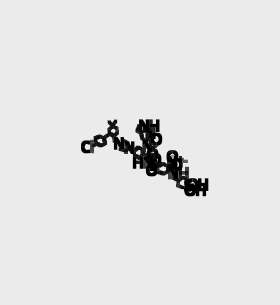 CC1(C)CCC(CN2CCN(c3ccc(C(=O)NS(=O)(=O)c4ccc(NCC5CCS(O)(O)CC5)c([N+](=O)[O-])c4)c(N4CCOc5nc6[nH]ccc6cc54)c3)CC2)=C(c2ccc(Cl)cc2)C1